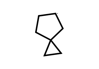 [CH]1CCC2(C1)CC2